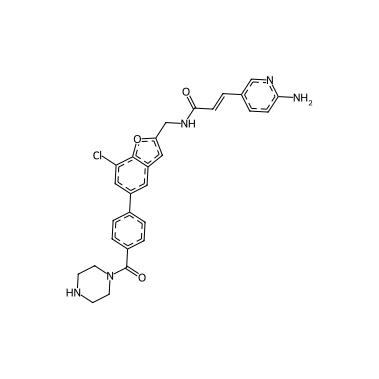 Nc1ccc(C=CC(=O)NCc2cc3cc(-c4ccc(C(=O)N5CCNCC5)cc4)cc(Cl)c3o2)cn1